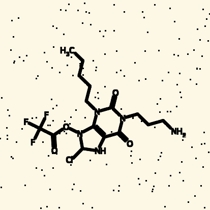 CCCCCn1c2c(c(=O)n(CCCN)c1=O)NC(Cl)N2OC(=O)C(F)(F)F